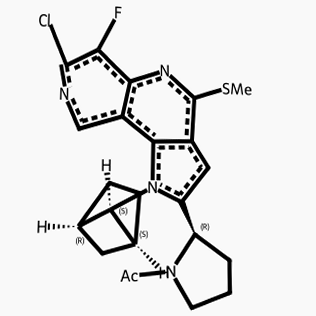 CSc1nc2c(F)c(Cl)ncc2c2c1cc([C@H]1CCCN1C(C)=O)n2[C@@H]1[C@@H]2CC[C@H]1C2